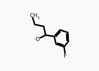 CCCC([O])c1cccc(F)c1